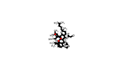 COC(=O)/C(C)=C\CC12OC(C)(C)C3CC(C1=O)C1C4=C(Nc5ncn1n5)c1c(OC(=O)CCl)c5c(c(CC=C(C)C)c1OC432)OC(C)(CCC=C(C)C)C=C5